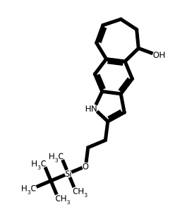 CC(C)(C)[Si](C)(C)OCCc1cc2cc3c(cc2[nH]1)C=CCCC3O